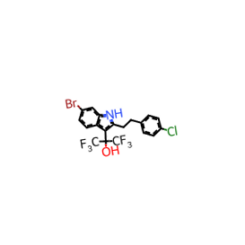 OC(c1c(CCc2ccc(Cl)cc2)[nH]c2cc(Br)ccc12)(C(F)(F)F)C(F)(F)F